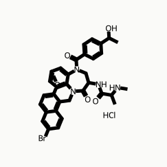 CNC(C)C(=O)NC1CN(C(=O)c2ccc(C(C)O)cc2)c2ccccc2N(Cc2c(OC)ccc3cc(Br)ccc23)C1=O.Cl